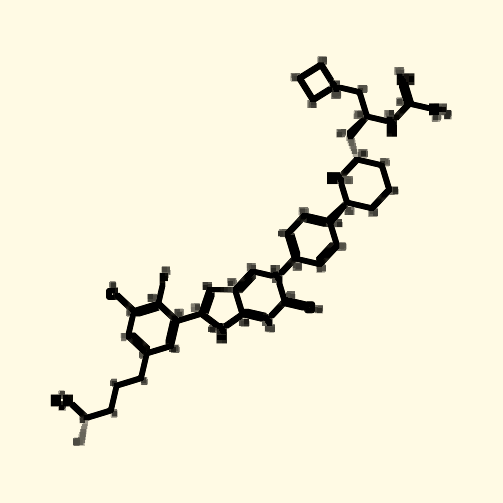 C[C@H](N)CCCc1cc(Cl)c(F)c(-c2cc3cn(-c4ccc([C@@H]5CCC[C@@H](C[C@@H](CN6CCC6)NC(=N)N)N5)cc4)c(=O)nc3[nH]2)c1